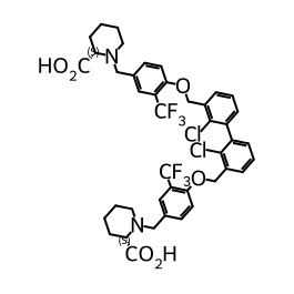 O=C(O)[C@@H]1CCCCN1Cc1ccc(OCc2cccc(-c3cccc(COc4ccc(CN5CCCC[C@H]5C(=O)O)cc4C(F)(F)F)c3Cl)c2Cl)c(C(F)(F)F)c1